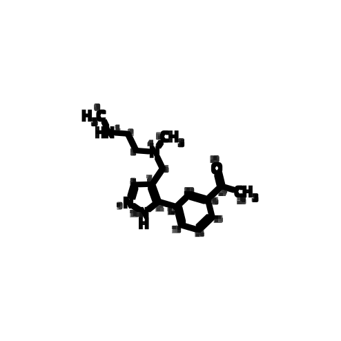 CNCCN(C)Cc1cn[nH]c1-c1cccc(C(C)=O)c1